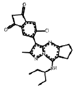 CCC(CC)Nc1c2c(nc3c(-c4cc5c(cc4Cl)C(=O)CC5=O)c(C)nn13)CCC2